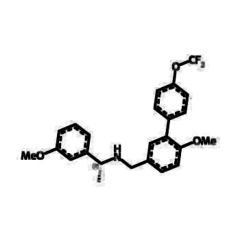 COc1cccc([C@@H](C)NCc2ccc(OC)c(-c3ccc(OC(F)(F)F)cc3)c2)c1